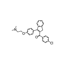 CN(C)CCOc1ccc(C2=C(C(=O)c3ccc(Cl)cc3)Cc3ccccc32)cc1